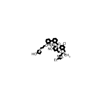 CCc1csc(CN(C)Cc2cc(Cl)c(OCc3cccc(-c4cccc(OCCCN5CC[C@@H](O)C5)c4C)c3C)cc2OCc2cncc(C#N)c2)n1